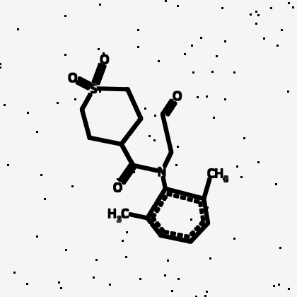 Cc1cccc(C)c1N(CC=O)C(=O)C1CCS(=O)(=O)CC1